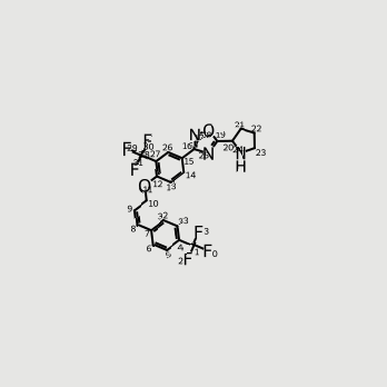 FC(F)(F)c1ccc(/C=C\COc2ccc(-c3noc(C4CCCN4)n3)cc2C(F)(F)F)cc1